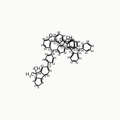 CC1(C)c2ccccc2-c2ccc(-c3ccc(N(c4ccc5c(c4)C(C)(C)c4ccccc4-5)c4cccc5oc6ccc(-c7ccc8c(c7)c7ccccc7n8-c7ccccc7)cc6c45)cc3)cc21